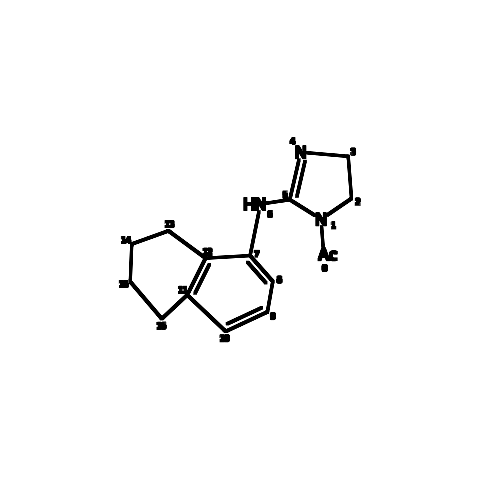 CC(=O)N1CCN=C1Nc1cccc2c1CCCC2